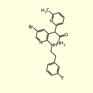 Cc1cccc(C(C(N)=O)c2cc(Br)cnc2NCCc2cccc(F)c2)n1